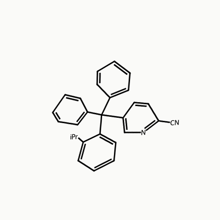 CC(C)c1ccccc1C(c1ccccc1)(c1ccccc1)c1ccc(C#N)nc1